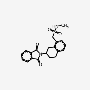 CNS(=O)(=O)Cc1cccc2c1CC(N1C(=O)c3ccccc3C1=O)CC2